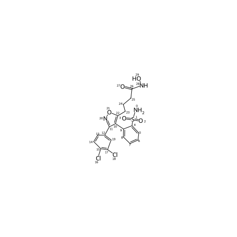 NS(=O)(=O)c1ccccc1-c1c(-c2ccc(Cl)c(Cl)c2)noc1CCCC(=O)NO